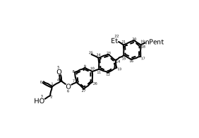 C=C(CO)C(=O)Oc1ccc(-c2ccc(-c3ccc(CCCCC)cc3CC)cc2C)cc1